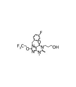 C=C1N(CCCO)C(=O)c2c(nc(OCC(F)(F)F)n2Cc2ccc(F)cc2)N1C